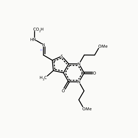 COCCn1c(=O)c2c(C)c(/C=N/NC(=O)O)sc2n(CCOC)c1=O